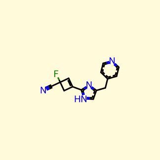 N#CC1(F)C=C(c2nc(Cc3ccncc3)c[nH]2)C1